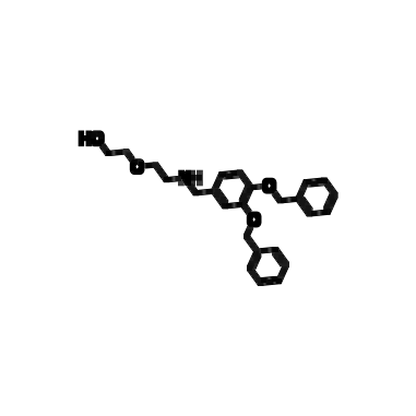 OCCOCCNCc1ccc(OCc2ccccc2)c(OCc2ccccc2)c1